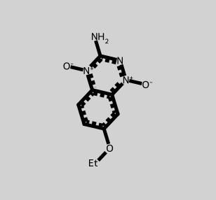 CCOc1ccc2c(c1)[n+]([O-])nc(N)[n+]2[O-]